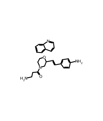 NCCC(=O)N1CCOC(C=Cc2ccc(N)cc2)C1.c1ccc2ncccc2c1